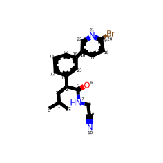 CC(C)CC(C(=O)NCC#N)c1cccc(-c2ccc(Br)nc2)c1